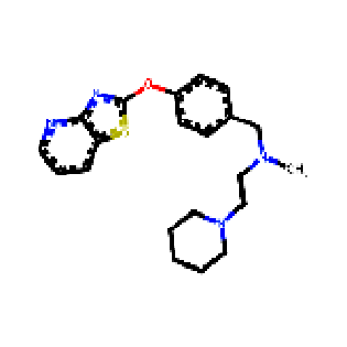 CN(CCN1CCCCC1)Cc1ccc(Oc2nc3ncccc3s2)cc1